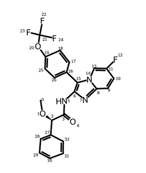 CO[C@@H](C(=O)Nc1nc2ccc(F)cn2c1-c1ccc(OC(F)(F)F)cc1)c1ccccc1